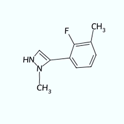 Cc1cccc(-c2c[nH]n2C)c1F